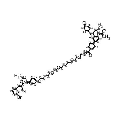 CCC[C@H](NC(=O)/C(C#N)=C/c1cccc(Br)n1)c1ccc(OCCOCCOCCOCCCCCOCCOCCNC(=O)c2ccc(-c3ccc4c(c3)[C@H](Nc3ccc(Cl)cc3)C[C@H](C)N4C(C)=O)cc2)cc1